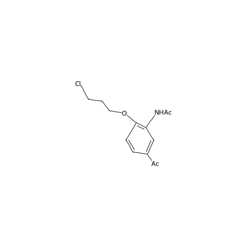 CC(=O)Nc1cc(C(C)=O)ccc1OCCCCl